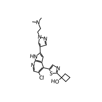 CN(C)CCn1cc(-c2cc3c(-c4cnc(C5(O)CCC5)s4)c(Cl)cnc3[nH]2)cn1